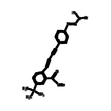 COC(=O)c1cc([Si](C)(C)C)ccc1C#CC#Cc1ccc(N=NN(C(C)C)C(C)C)cc1